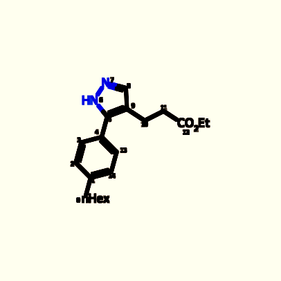 CCCCCCc1ccc(-c2[nH]ncc2CCC(=O)OCC)cc1